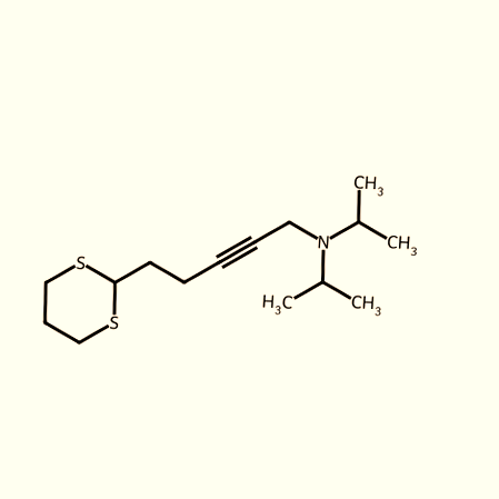 CC(C)N(CC#CCCC1SCCCS1)C(C)C